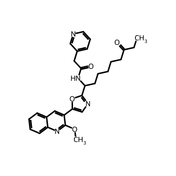 CCC(=O)CCCCCC(NC(=O)Cc1cccnc1)c1ncc(-c2cc3ccccc3nc2OC)o1